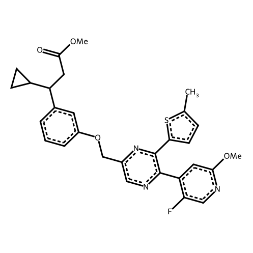 COC(=O)CC(c1cccc(OCc2cnc(-c3cc(OC)ncc3F)c(-c3ccc(C)s3)n2)c1)C1CC1